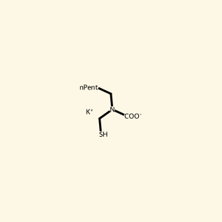 CCCCCCN(CS)C(=O)[O-].[K+]